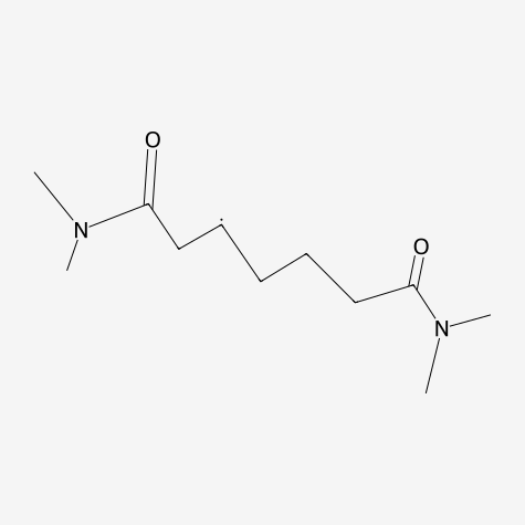 CN(C)C(=O)C[CH]CCCC(=O)N(C)C